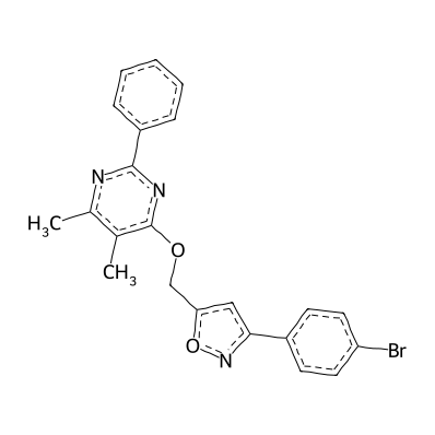 Cc1nc(-c2ccccc2)nc(OCc2cc(-c3ccc(Br)cc3)no2)c1C